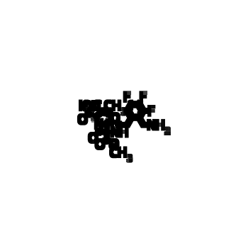 COC(=O)[C@]1(NC(=O)Cc2cc(F)c(F)c(F)c2CN)C(=O)N2[C@@H](C(=O)O)C(C)(C)S[C@@H]21